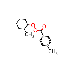 Cc1ccc(C(=O)OO[C]2CCCCC2C)cc1